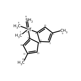 CC1=CC[C]([Hf]([CH3])([CH3])(=[SiH2])[C]2=CC(C)=CC2)=C1